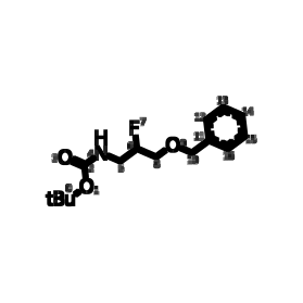 CC(C)(C)OC(=O)NCC(F)COCc1ccccc1